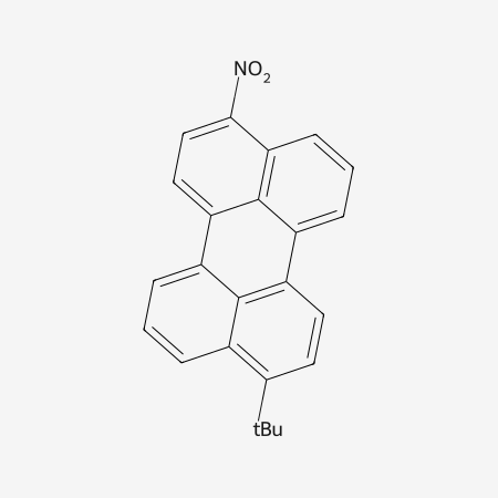 CC(C)(C)c1ccc2c3cccc4c([N+](=O)[O-])ccc(c5cccc1c52)c43